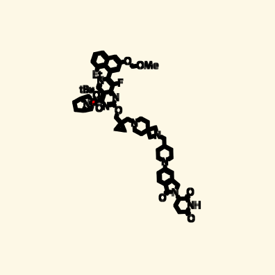 CCc1cccc2cc(OCOC)cc(-c3ncc4c(N5CC6CCC(C5)N6C(=O)OC(C)(C)C)nc(OCC5(CN6CCC7(CC6)CN(CC6CCN(c8ccc9c(c8)CN(C8CCC(=O)NC8=O)C9=O)CC6)C7)CC5)nc4c3F)c12